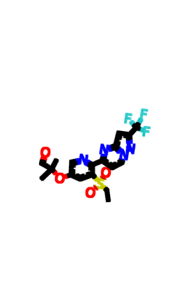 CCS(=O)(=O)c1cc(OC(C)(C)C=O)cnc1-c1ccn2nc(C(F)(F)F)cc2n1